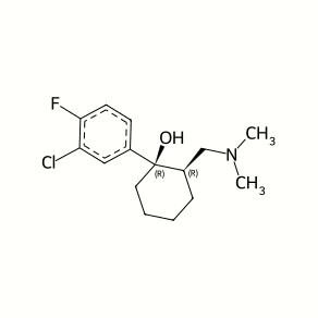 CN(C)C[C@H]1CCCC[C@]1(O)c1ccc(F)c(Cl)c1